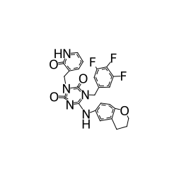 O=c1[nH]cccc1Cn1c(=O)nc(Nc2ccc3c(c2)CCCO3)n(Cc2cc(F)c(F)c(F)c2)c1=O